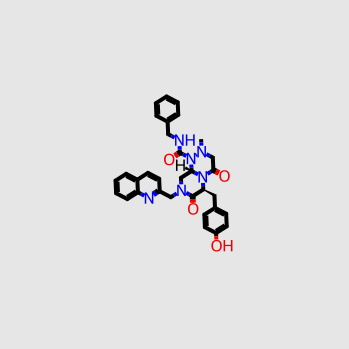 CN1CC(=O)N2[C@@H](Cc3ccc(O)cc3)C(=O)N(Cc3ccc4ccccc4n3)C[C@@H]2N1C(=O)NCc1ccccc1